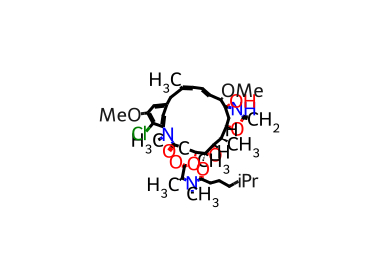 C=C1N[C@]2(O)C[C@H](O1)[C@@H](C)[C@@H]1O[C@@]1(C)[C@@H](OC(=O)[C@H](C)N(C)C(=O)CCCC(C)C)CC(=O)N(C)c1cc(cc(OC)c1Cl)C/C(C)=C\C=C\[C@H]2OC